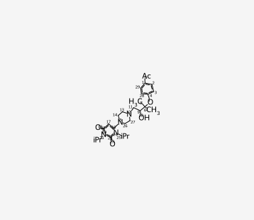 CC(=O)c1ccc(OC(C)(C)C(O)CN2CCN(c3cc(=O)n(C(C)C)c(=O)n3C(C)C)CC2)cc1